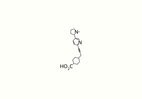 CN1CCCC1c1ccc(C#CCC2CCC(C(=O)O)CC2)nc1